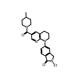 CCN1Cc2cc(N3CCCc4cc(C(=O)N5CCC(C)CC5)cnc43)ccc2C1=O